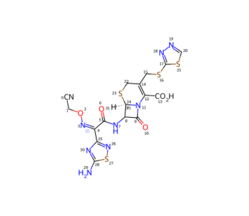 N#CCO/N=C(\C(=O)NC1C(=O)N2C(C(=O)O)=C(CSc3nncs3)CS[C@H]12)c1nsc(N)n1